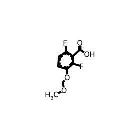 COCOc1ccc(F)c(C(=O)O)c1F